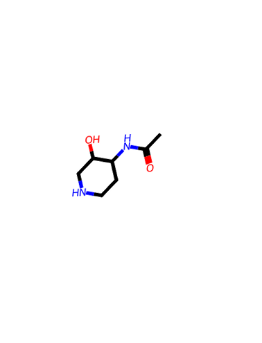 CC(=O)NC1CCNCC1O